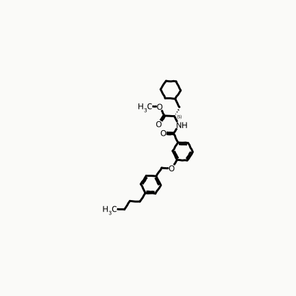 CCCCc1ccc(COc2cccc(C(=O)N[C@@H](CC3CCCCC3)C(=O)OC)c2)cc1